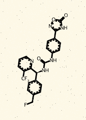 O=C(Nc1ccc(-c2noc(=O)[nH]2)cc1)N[C@@H](c1ccc(CF)cc1)c1ncccc1C(F)(F)F